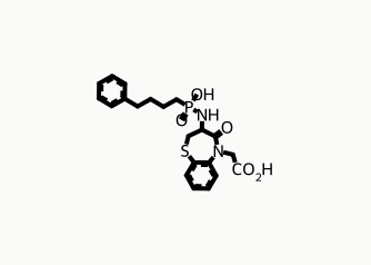 O=C(O)CN1C(=O)C(NP(=O)(O)CCCCc2ccccc2)CSc2ccccc21